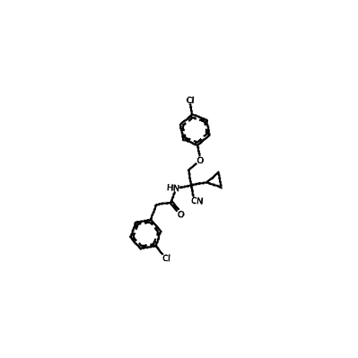 N#CC(COc1ccc(Cl)cc1)(NC(=O)Cc1cccc(Cl)c1)C1CC1